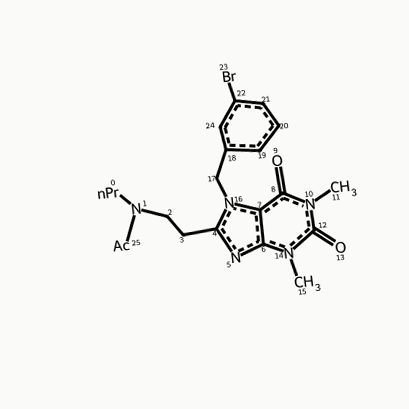 CCCN(CCc1nc2c(c(=O)n(C)c(=O)n2C)n1Cc1cccc(Br)c1)C(C)=O